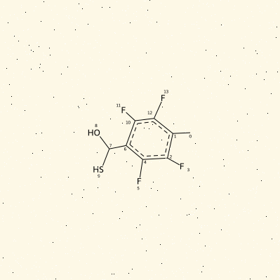 Cc1c(F)c(F)c(C(O)S)c(F)c1F